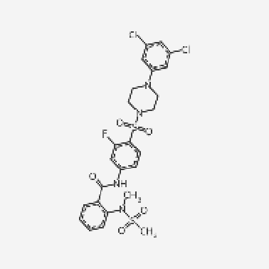 CN(c1ccccc1C(=O)Nc1ccc(S(=O)(=O)N2CCN(c3cc(Cl)cc(Cl)c3)CC2)c(F)c1)S(C)(=O)=O